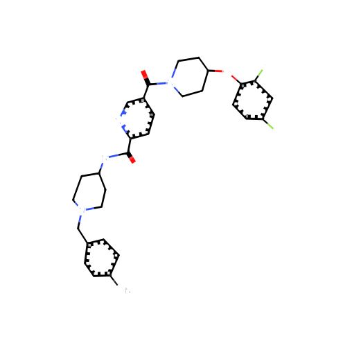 N#Cc1ccc(CN2CCC(NC(=O)c3ccc(C(=O)N4CCC(Oc5ccc(F)cc5F)CC4)cn3)CC2)cc1